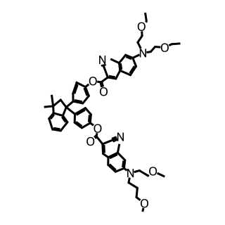 CCOCCN(CCOCC)c1ccc(/C=C(\C#N)C(=O)Oc2ccc(C3(c4ccc(OC(=O)/C(C#N)=C/c5ccc(N(CCCOC)CCOC)cc5C)cc4)CC(C)(C)c4ccccc43)cc2)c(C)c1